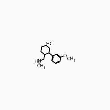 CNCC1CCCCC1c1cccc(OC)c1.Cl